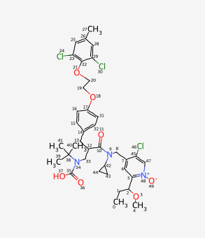 CCC(OC)c1cc(CN(C(=O)C(Cc2ccc(OCCOc3c(Cl)cc(C)cc3Cl)cc2)CN(C(=O)O)C(C)(C)C)C2CC2)c(Cl)c[n+]1[O-]